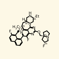 C#Cc1c(F)ccc2cccc(-c3nc4c5c(nc(OC[C@@]67CCCN6C[C@H](F)C7)nc5c3F)N3C[C@@H](CC)NC[C@H]3C[C@H]4C)c12